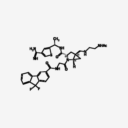 CC(=O)NCCNC[C@@]12C[C@@H]1N(C(=O)CNC(=O)c1ccc3c(c1)-c1ccccc1C3(F)F)[C@H](C(=O)NC(C)c1cc(C(=N)N)cs1)C2